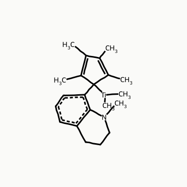 CC1=C(C)[C](c2cccc3c2N(C)CCC3)([Ti]([CH3])[CH3])C(C)=C1C